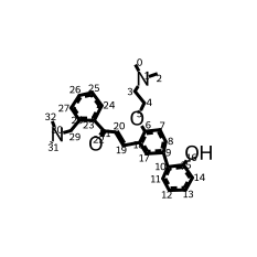 CN(C)CCOc1ccc(-c2ccccc2O)cc1C=CC(=O)c1ccccc1CN(C)C